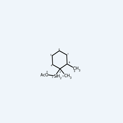 CC(=O)O[SiH2]C1(C)CCCCC1C